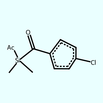 CC(=O)[Si](C)(C)C(=O)c1ccc(Cl)cc1